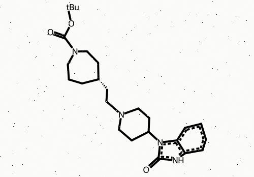 CC(C)(C)OC(=O)N1CCC[C@@H](CCN2CCC(n3c(=O)[nH]c4ccccc43)CC2)CC1